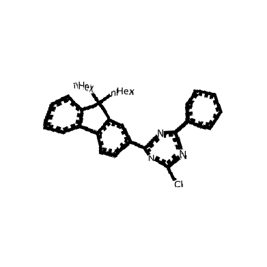 CCCCCCC1(CCCCCC)c2ccccc2-c2ccc(-c3nc(Cl)nc(-c4ccccc4)n3)cc21